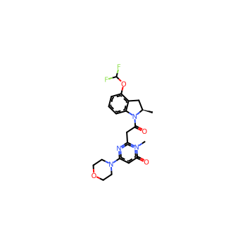 C[C@@H]1Cc2c(OC(F)F)cccc2N1C(=O)Cc1nc(N2CCOCC2)cc(=O)n1C